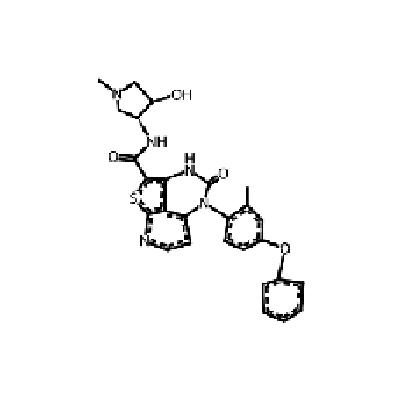 Cc1cc(Oc2ccccc2)ccc1N1C(=O)Nc2c(C(=O)N[C@H]3CN(C)C[C@H]3O)sc3nccc1c23